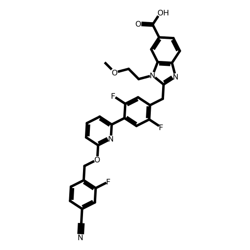 COCCn1c(Cc2cc(F)c(-c3cccc(OCc4ccc(C#N)cc4F)n3)cc2F)nc2ccc(C(=O)O)cc21